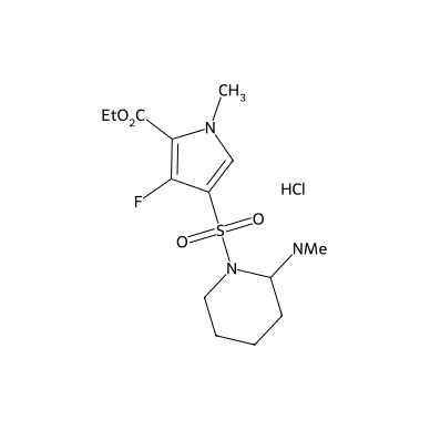 CCOC(=O)c1c(F)c(S(=O)(=O)N2CCCCC2NC)cn1C.Cl